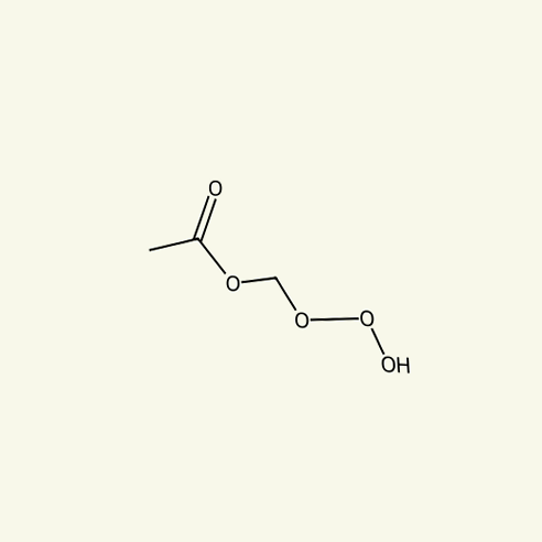 CC(=O)OCOOO